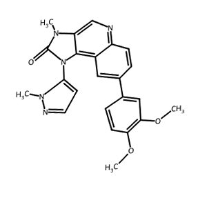 COc1ccc(-c2ccc3ncc4c(c3c2)n(-c2ccnn2C)c(=O)n4C)cc1OC